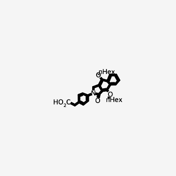 CCCCCCOc1c2c(c(OCCCCCC)c3ccccc13)C(=O)N(c1ccc(CC(=O)O)cc1)C2